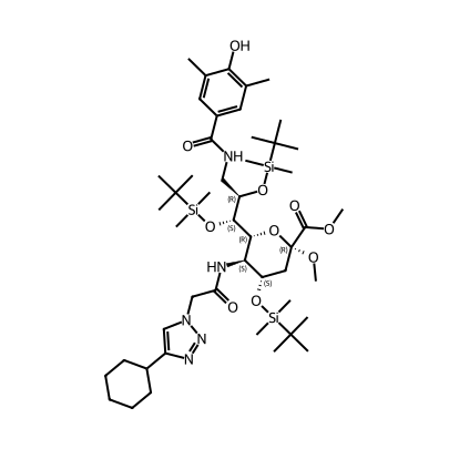 COC(=O)[C@@]1(OC)C[C@H](O[Si](C)(C)C(C)(C)C)[C@@H](NC(=O)Cn2cc(C3CCCCC3)nn2)[C@H]([C@H](O[Si](C)(C)C(C)(C)C)[C@@H](CNC(=O)c2cc(C)c(O)c(C)c2)O[Si](C)(C)C(C)(C)C)O1